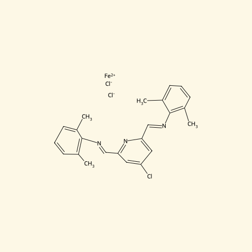 Cc1cccc(C)c1N=Cc1cc(Cl)cc(C=Nc2c(C)cccc2C)n1.[Cl-].[Cl-].[Fe+2]